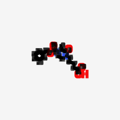 C[C@H]1C(=O)N(CCCCC(=O)O)CCN1C(=O)OCc1ccccc1